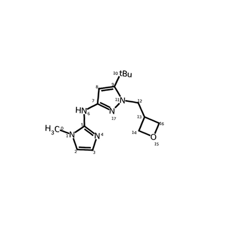 Cn1ccnc1Nc1cc(C(C)(C)C)n(CC2COC2)n1